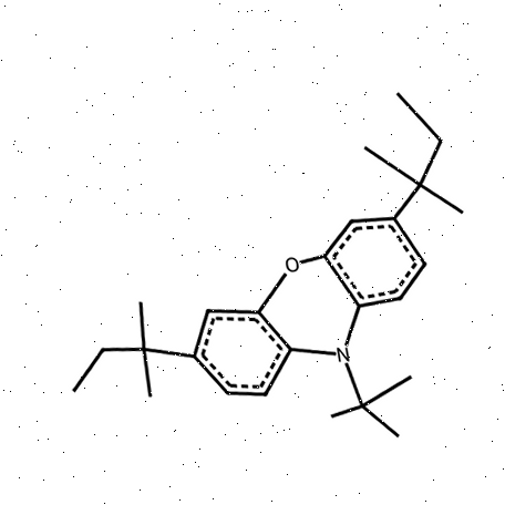 CCC(C)(C)c1ccc2c(c1)Oc1cc(C(C)(C)CC)ccc1N2C(C)(C)C